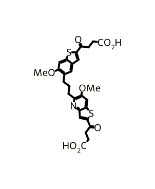 COc1cc2sc(C(=O)CCC(=O)O)cc2cc1CCCc1nc2cc(C(=O)CCC(=O)O)sc2cc1OC